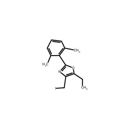 CCc1oc(-c2c(C)cccc2C)nc1CI